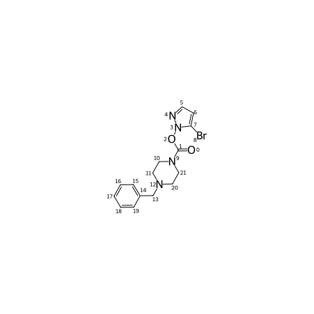 O=C(On1nccc1Br)N1CCN(Cc2ccccc2)CC1